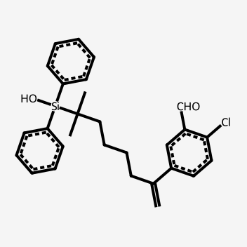 C=C(CCCCC(C)(C)[Si](O)(c1ccccc1)c1ccccc1)c1ccc(Cl)c(C=O)c1